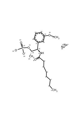 CCCCCCCC(=O)N[C@H](c1cccc(OC)c1)[C@H](C)OP(=O)([O-])[O-].[Na+].[Na+]